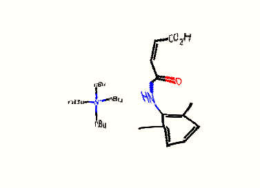 CCCC[N+](CCCC)(CCCC)CCCC.Cc1cccc(C)c1NC(=O)/C=C\C(=O)O